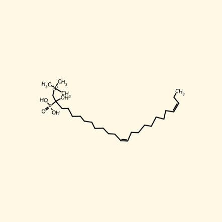 CC/C=C\CCCCCCC/C=C\CCCCCCCCCCC(O)(C[N+](C)(C)C)P(=O)(O)O